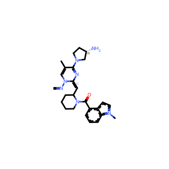 C=NN1C=C(C)C(N2CC[C@H](N)C2)=N/C1=C/C1CCCCN1C(=O)c1cccc2c1ccn2C